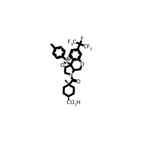 Cc1ccc(S(=O)(=O)C23CCN(C(=O)[C@]4(C)CC[C@@H](C(=O)O)CC4)C2COc2cc(C(F)(C(F)(F)F)C(F)(F)F)ccc23)cc1